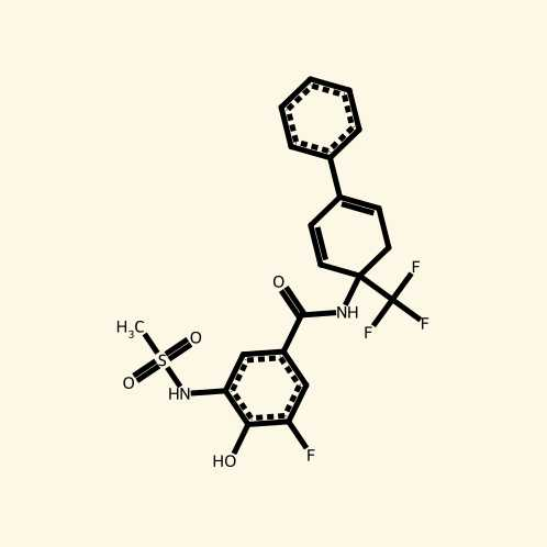 CS(=O)(=O)Nc1cc(C(=O)NC2(C(F)(F)F)C=CC(c3ccccc3)=CC2)cc(F)c1O